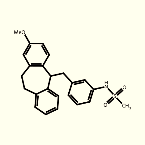 COc1ccc2c(c1)CCc1ccccc1C2Cc1cccc(NS(C)(=O)=O)c1